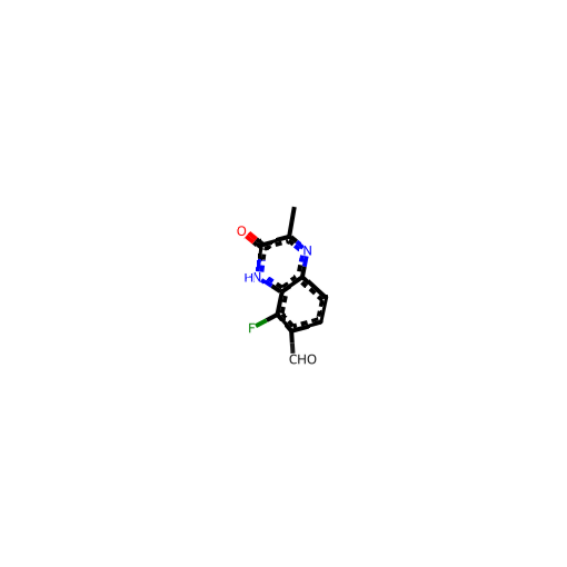 Cc1nc2ccc(C=O)c(F)c2[nH]c1=O